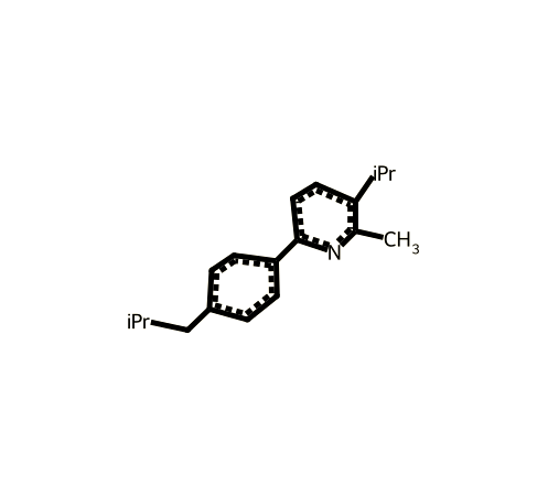 Cc1nc(-c2ccc(CC(C)C)cc2)ccc1C(C)C